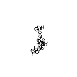 COc1cc(CNC(=O)c2nc3scc(COCC4CCC(C(=O)O)CC4)c3c(=O)[nH]2)ccc1F